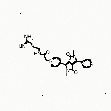 N=C(N)SCCNC(=O)C[n+]1ccc(C2=C3C(=O)NC(c4ccccc4)=C3C(=O)N2)cc1